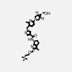 Cc1nc(N2C[C@@H]3[C@H](CO)[C@@H]3C2)ccc1Cn1cc(C(=O)N[C@@H]2CCc3c2nn(COCCS(C)(C)C)c3C)cn1